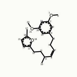 COc1cc(CC/C=C\C(C)CCc2ccc(C)o2)cc(OC)c1